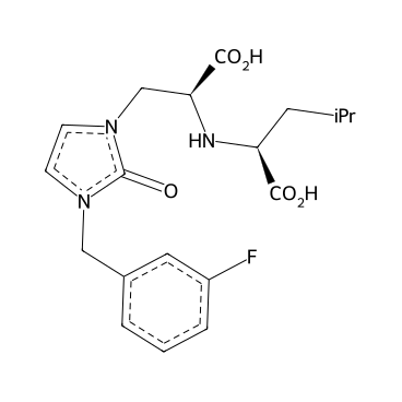 CC(C)C[C@H](N[C@@H](Cn1ccn(Cc2cccc(F)c2)c1=O)C(=O)O)C(=O)O